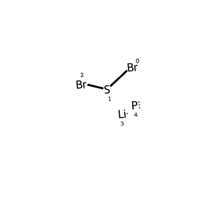 BrSBr.[Li].[P]